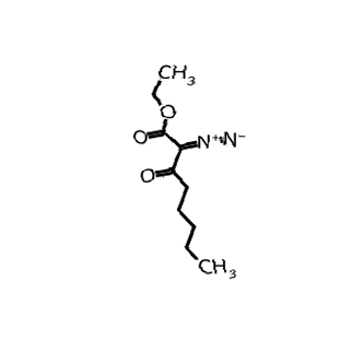 CCCCCC(=O)C(=[N+]=[N-])C(=O)OCC